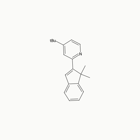 CC(C)(C)c1ccnc(C2=Cc3ccccc3C2(C)C)c1